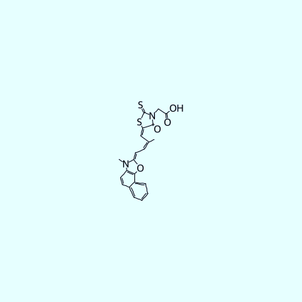 CC(=CC=C1Oc2c(ccc3ccccc23)N1C)C=C1SC(=S)N(CC(=O)O)C1=O